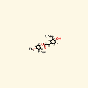 CCOc1ccc(OC(=O)/C=C/c2ccc(O)c(OC)c2)cc1OC